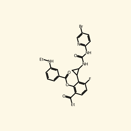 CCNc1cccc(C(=O)Oc2c(C(=O)CC)ccc(F)c2C2CC2NC(=O)Nc2ccc(Br)cn2)c1